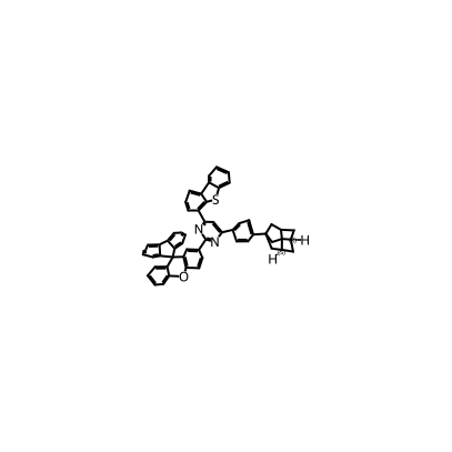 c1ccc2c(c1)Oc1ccc(-c3nc(-c4ccc(C56CC7C[C@@H]8C[C@@H](C5)C78C6)cc4)cc(-c4cccc5c4sc4ccccc45)n3)cc1C21c2ccccc2-c2ccccc21